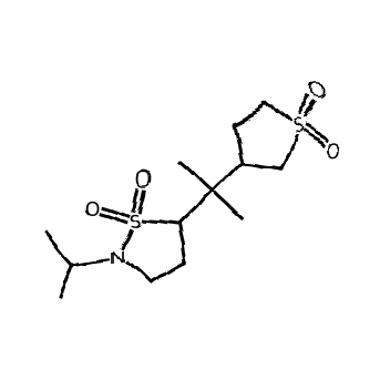 CC(C)N1CCC(C(C)(C)C2CCS(=O)(=O)C2)S1(=O)=O